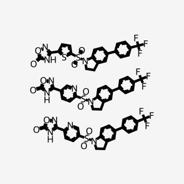 O=c1[nH]c(-c2ccc(S(=O)(=O)N3CCc4cc(-c5ccc(C(F)(F)F)cc5)ccc43)cn2)no1.O=c1[nH]c(-c2ccc(S(=O)(=O)N3CCc4cc(-c5ccc(C(F)(F)F)cc5)ccc43)nc2)no1.O=c1[nH]c(-c2ccc(S(=O)(=O)N3CCc4cc(-c5ccc(C(F)(F)F)cc5)ccc43)s2)no1